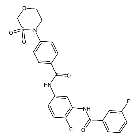 O=C(Nc1ccc(Cl)c(NC(=O)c2cccc(F)c2)c1)c1ccc(N2CCOCS2(=O)=O)cc1